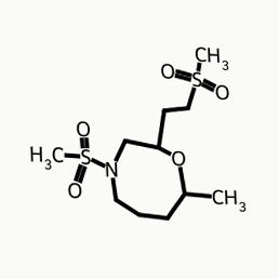 CC1CCCN(S(C)(=O)=O)CC(CCS(C)(=O)=O)O1